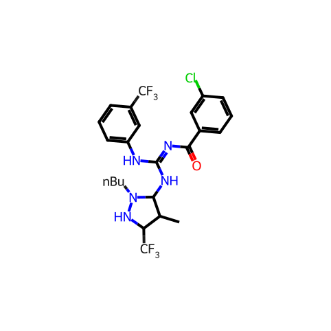 CCCCN1NC(C(F)(F)F)C(C)C1N/C(=N\C(=O)c1cccc(Cl)c1)Nc1cccc(C(F)(F)F)c1